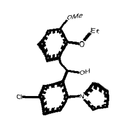 CCOc1c(OC)cccc1C(O)c1cc(Cl)ccc1-n1cccc1